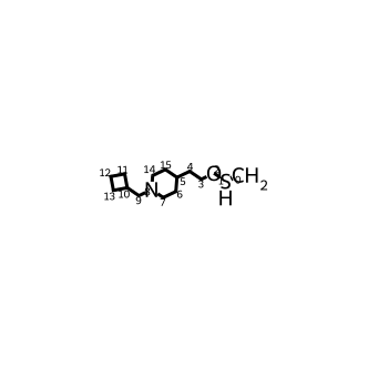 C=[SH]OCCC1CCN(CC2CCC2)CC1